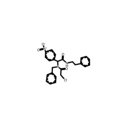 O=C(NCCc1ccccc1)C(c1ccc([N+](=O)[O-])cc1)N(Cc1ccccc1)C(=O)CCl